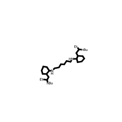 CCCCC(CC)CC1CCCCC1NCCCCCCNC1CCCCC1CC(CC)CCCC